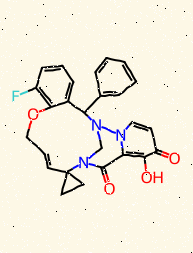 O=C1c2c(O)c(=O)ccn2N2CN1C1(/C=C/COc3c(F)cccc3C2c2ccccc2)CC1